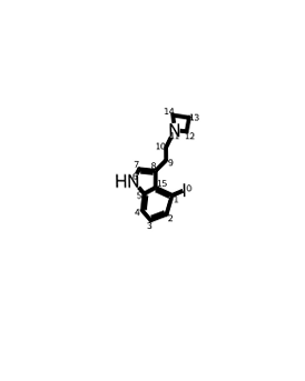 Ic1cccc2[nH]cc(CCN3CCC3)c12